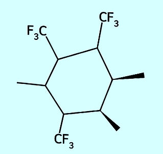 CC1C(C(F)(F)F)C(C(F)(F)F)[C@@H](C)[C@@H](C)C1C(F)(F)F